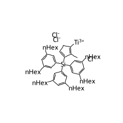 CCCCCCc1cc(CCCCCC)cc([Si](C2=CC[C]([Ti+3])=C2C)(c2cc(CCCCCC)cc(CCCCCC)c2)c2cc(CCCCCC)cc(CCCCCC)c2)c1.[Cl-].[Cl-].[Cl-]